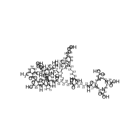 CC[N+]1=C(/C=C/C=C/C=C2/N(CCCCCC(=O)NC(CCCCNC(=O)CN3CCN(CC(=O)O)CCN(CC(=O)O)CCN(CC(=O)O)CC3)C(=O)NCCCCCC(=O)N[C@@H](CCC(=O)O)C(=O)N3CCC[C@H]3C(=O)N[C@@H](CC(=O)O)C(=O)COC(=O)c3c(C)cccc3C)c3ccc(SOOO)cc3C2(C)C)C(C)(C)c2cc(SOOO)ccc21